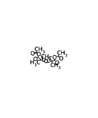 CC(=O)OC(=O)C(C)(C)COCC(C)(C)C(=O)OC(C)=O